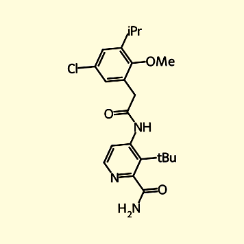 COc1c(CC(=O)Nc2ccnc(C(N)=O)c2C(C)(C)C)cc(Cl)cc1C(C)C